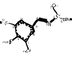 CC(C)(C)[S@@+]([O-])/N=C/c1cc(Cl)c(F)c(C(F)(F)F)c1